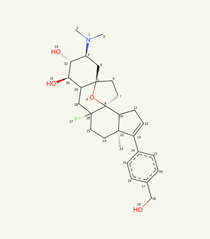 CN(C)[C@H]1C[C@@]23CC[C@]4(O2)C2CC=C(c5ccc(CO)cc5)[C@@]2(C)CCC4(F)CC3[C@@H](O)[C@@H]1O